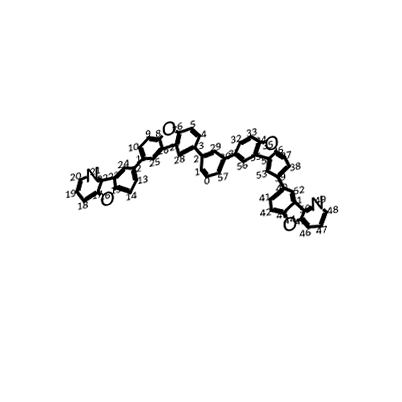 c1cc(-c2ccc3oc4ccc(-c5ccc6oc7cccnc7c6c5)cc4c3c2)cc(-c2ccc3oc4ccc(-c5ccc6oc7cccnc7c6c5)cc4c3c2)c1